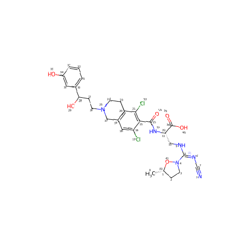 C[C@H]1CCN(/C(=N\C#N)NC[C@H](NC(=O)c2c(Cl)cc3c(c2Cl)CCN(CCC(O)c2cccc(O)c2)C3)C(=O)O)O1